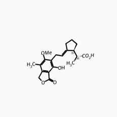 COc1c(C)c2c(c(O)c1CC=C1CCC[C@H]1[C@@H](C)C(=O)O)C(=O)OC2